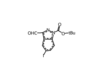 CC(C)(C)OC(=O)n1nc(C=O)c2cc(I)ccc21